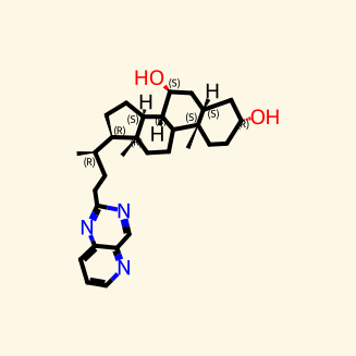 C[C@H](CCc1ncc2ncccc2n1)[C@H]1CC[C@H]2[C@H]3C(CC[C@]12C)[C@@]1(C)CC[C@@H](O)C[C@H]1C[C@@H]3O